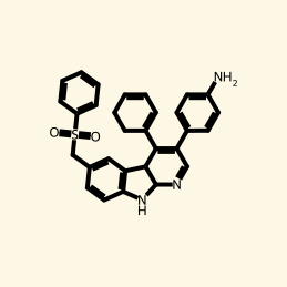 Nc1ccc(C2=C(C3=CC=CCC3)C3c4cc(CS(=O)(=O)c5ccccc5)ccc4NC3N=C2)cc1